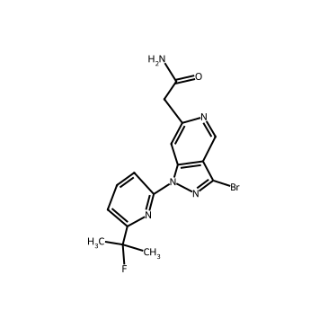 CC(C)(F)c1cccc(-n2nc(Br)c3cnc(CC(N)=O)cc32)n1